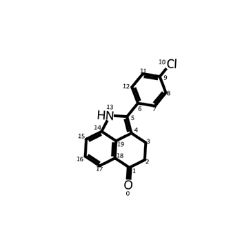 O=C1CCc2c(-c3ccc(Cl)cc3)[nH]c3cccc1c23